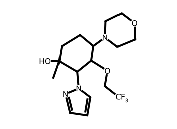 CC1(O)CCC(N2CCOCC2)C(OCC(F)(F)F)C1n1cccn1